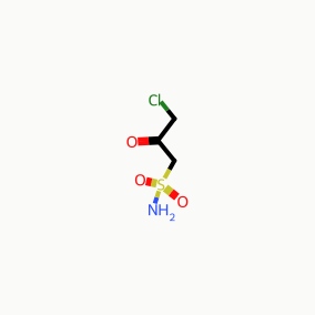 NS(=O)(=O)CC(=O)CCl